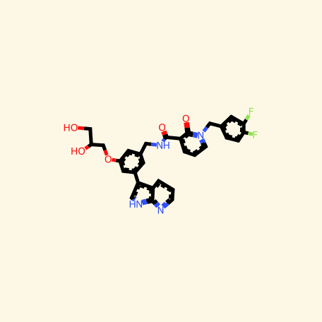 O=C(NCc1cc(OCC(O)CO)cc(-c2c[nH]c3ncccc23)c1)c1cccn(Cc2ccc(F)c(F)c2)c1=O